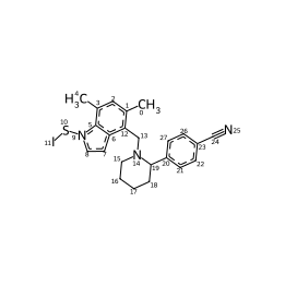 Cc1cc(C)c2c(ccn2SI)c1CN1CCCCC1c1ccc(C#N)cc1